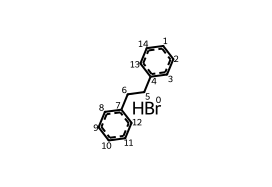 Br.c1ccc(CCc2ccccc2)cc1